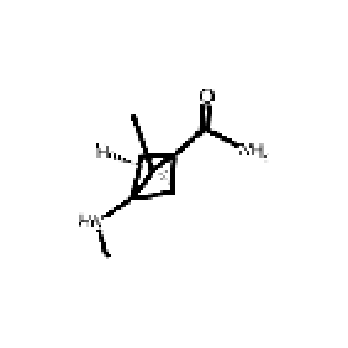 CNC12CC(C(N)=O)(C1)[C@@H]2C